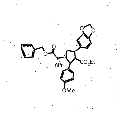 CCC[C@H](C(=O)OCc1ccccc1)N1CC(c2ccc3c(c2)OCO3)C(C(=O)OCC)C1c1ccc(OC)cc1